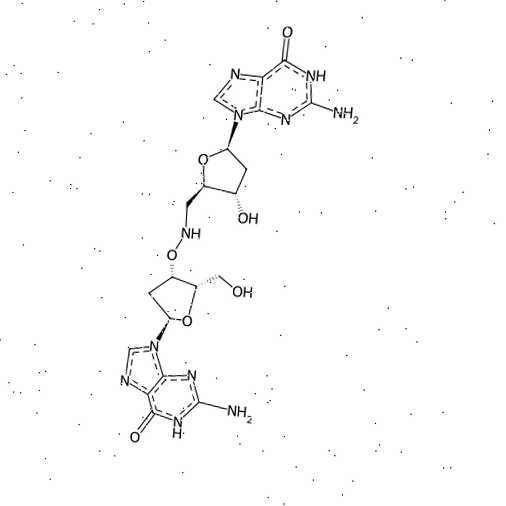 Nc1nc2c(ncn2[C@H]2C[C@H](ONC[C@H]3O[C@@H](n4cnc5c(=O)[nH]c(N)nc54)C[C@@H]3O)[C@H](CO)O2)c(=O)[nH]1